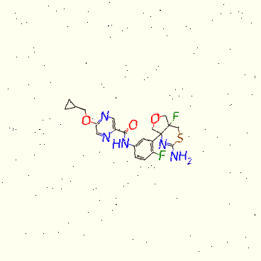 NC1=NC2(c3cc(NC(=O)c4cnc(OCC5CC5)cn4)ccc3F)COCC2(F)CS1